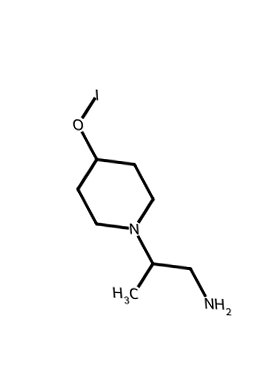 CC(CN)N1CCC(OI)CC1